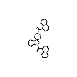 O=C(c1cccc2ccccc12)N1CCC2(CC1)CN(C(=O)c1cccc3ccccc13)c1ccccc12